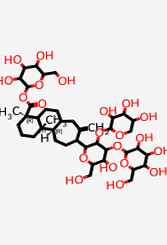 C=C1CC2CCC3[C@](C)(C(=O)OC4OC(CO)C(O)C(O)C4O)CCC[C@@]3(C)[C@@H]2CCC1C1OC(CO)C(O)C(OC2OC(CO)C(O)C(O)C2O)C1OC1OCC(O)C(O)C1O